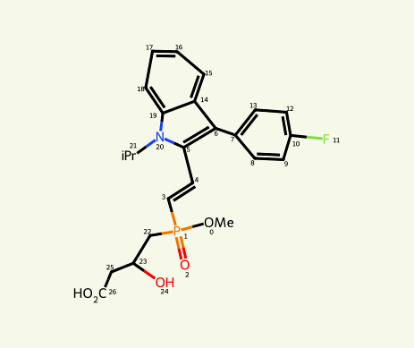 COP(=O)(/C=C/c1c(-c2ccc(F)cc2)c2ccccc2n1C(C)C)CC(O)CC(=O)O